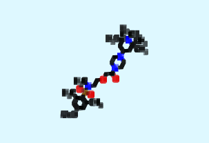 COc1cc(C)c(S(=O)(=O)N(C)CCOCC(=O)N2CCN(C3CC(C)(C)N(C)C(C)(C)C3)CC2)c(C)c1